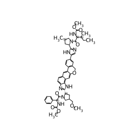 CC[C@H](C)[C@H](NC(=O)OC)C(=O)N1C[C@@H](C)CC1c1ncc(-c2ccc3c(c2)COc2cc4c(ccc5nc([C@@H]6CC(COC)CN6C(=O)[C@H](NC(=O)OC)c6ccccc6)[nH]c54)cc2-3)[nH]1